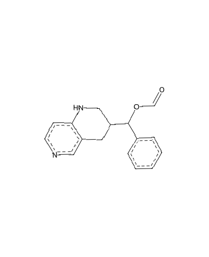 O=COC(c1ccccc1)C1CNc2ccncc2C1